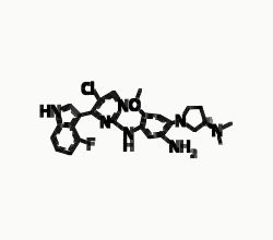 COc1cc(N2CC[C@@H](N(C)C)C2)c(N)cc1Nc1ncc(Cl)c(-c2c[nH]c3cccc(F)c23)n1